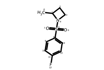 CC1CCN1S(=O)(=O)c1ccc(F)cc1